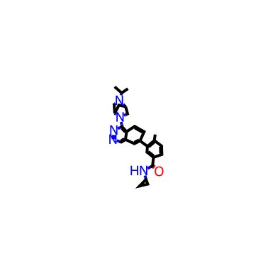 Cc1ccc(C(=O)NC2CC2)cc1-c1ccc2c(N3CC4CC3CN4C(C)C)nncc2c1